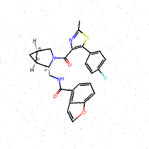 Cc1nc(C(=O)N2C[C@@H]3C[C@@H]3[C@H]2CNC(=O)c2cccc3occc23)c(-c2ccc(F)cc2)s1